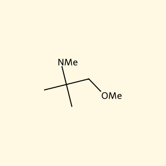 CNC(C)(C)COC